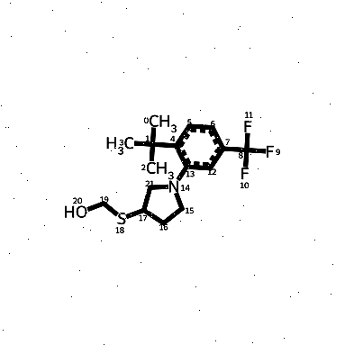 CC(C)(C)c1ccc(C(F)(F)F)cc1N1CCC(SCO)C1